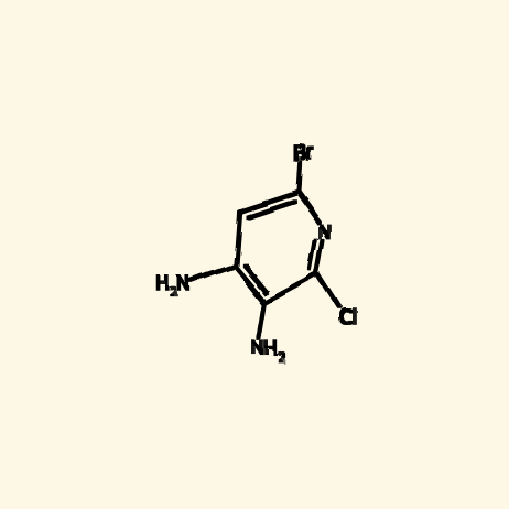 Nc1cc(Br)nc(Cl)c1N